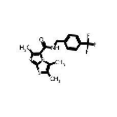 Cc1nc2sc(C)c(C)n2c1C(=O)NCc1ccc(C(F)(F)F)cc1